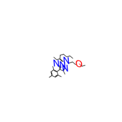 CCOCCCN1c2c(c(C)nc3c(-c4c(C)cc(C)cc4C)c(C)nn23)CCC1CC